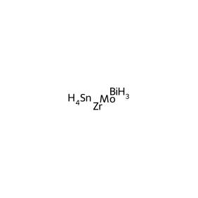 [BiH3].[Mo].[SnH4].[Zr]